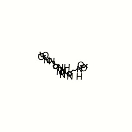 CC(C)(C)OC(=O)CN1CCN(Cc2cccc(Nc3ncnc(-c4cncc(CCCNC(=O)OC(C)(C)C)c4)n3)c2)CC1